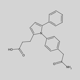 NC(=O)Cc1ccc(-n2c(CCC(=O)O)ccc2-c2ccccc2)cc1